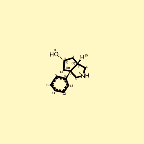 O[C@@H]1C[C@@H]2CNC[C@]2(c2ccccc2)C1